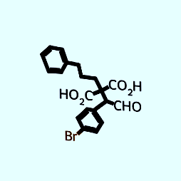 O=CC(c1ccc(Br)cc1)C(CCCc1ccccc1)(C(=O)O)C(=O)O